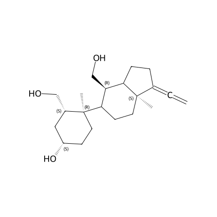 C=C=C1CCC2[C@H](CO)C([C@@]3(C)CC[C@H](O)C[C@@H]3CO)CC[C@]12C